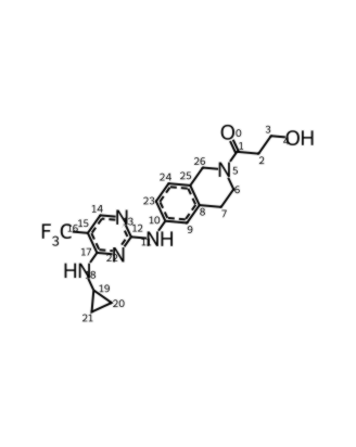 O=C(CCO)N1CCc2cc(Nc3ncc(C(F)(F)F)c(NC4CC4)n3)ccc2C1